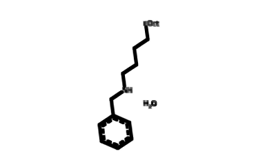 CCCCCCCCCCCCNCc1ccccc1.O